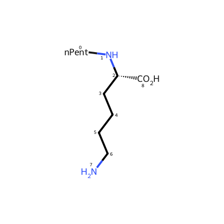 CCCCCN[C@@H](CCCCN)C(=O)O